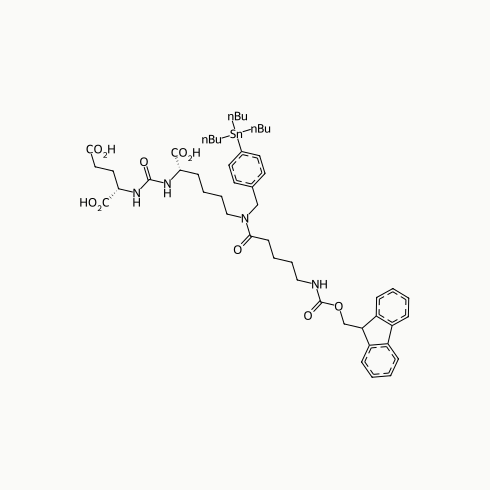 CCC[CH2][Sn]([CH2]CCC)([CH2]CCC)[c]1ccc(CN(CCCC[C@H](NC(=O)N[C@@H](CCC(=O)O)C(=O)O)C(=O)O)C(=O)CCCCNC(=O)OCC2c3ccccc3-c3ccccc32)cc1